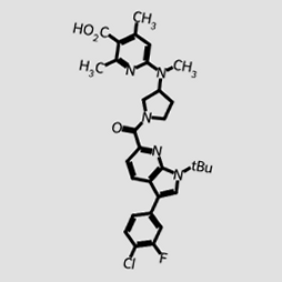 Cc1cc(N(C)C2CCN(C(=O)c3ccc4c(-c5ccc(Cl)c(F)c5)cn(C(C)(C)C)c4n3)C2)nc(C)c1C(=O)O